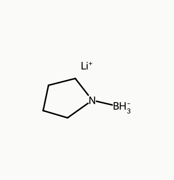 [BH3-]N1CCCC1.[Li+]